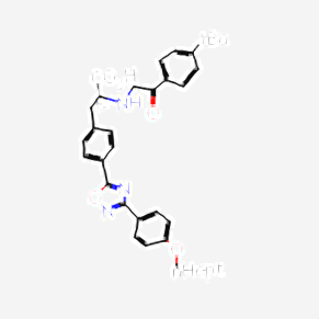 CCCCCCCOc1ccc(-c2noc(-c3ccc(C[C@H](NCC(=O)c4ccc(C(C)(C)C)cc4)C(=O)O)cc3)n2)cc1